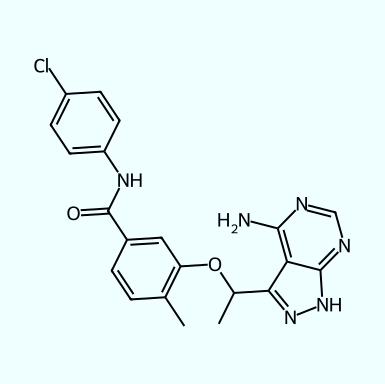 Cc1ccc(C(=O)Nc2ccc(Cl)cc2)cc1OC(C)c1n[nH]c2ncnc(N)c12